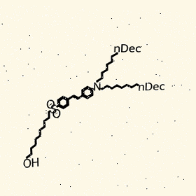 CCCCCCCCCCCCCCCCCCN(CCCCCCCCCCCCCCCCCC)c1ccc(C=Cc2ccc(S(=O)(=O)CCCCCCCCCCCO)cc2)cc1